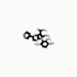 CC1=C(n2c(N)c(C(N)=O)c3nc(-c4ccnnc4)cnc32)[C@H](C)[C@H](O)C=C1